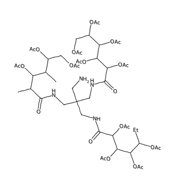 CCC(OC(C)=O)C(OC(C)=O)C(OC(C)=O)C(OC(C)=O)C(=O)NCC(CN)(CNC(=O)C(C)C(OC(C)=O)C(C)C(COC(C)=O)OC(C)=O)CNC(=O)C(OC(C)=O)C(OC(C)=O)C(OC(C)=O)C(COC(C)=O)OC(C)=O